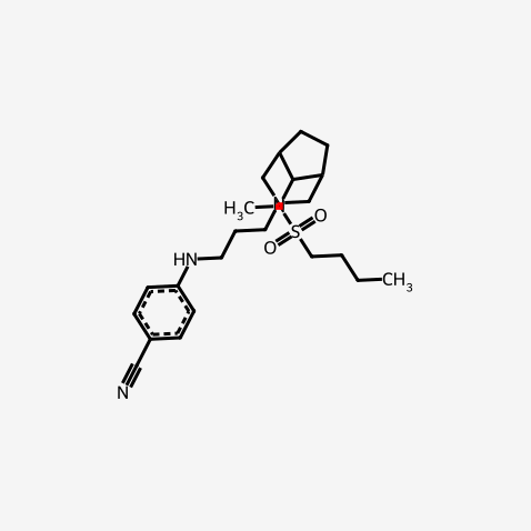 CCCCS(=O)(=O)N(C)C1C2CCC1CN(CCCNc1ccc(C#N)cc1)C2